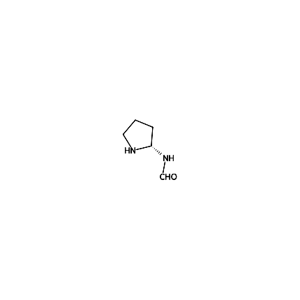 O=CN[C@H]1CCCN1